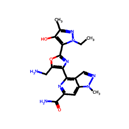 CCn1nc(C)c(O)c1-c1nc(-c2nc(C(N)=O)cc3c2cnn3C)c(CN)o1